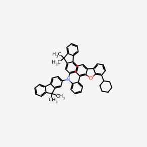 CC1(C)c2ccccc2-c2ccc(N(c3ccc4c(c3)C(C)(C)c3ccccc3-4)c3ccccc3-c3cccc4c3oc3c(C5CCCCC5)cccc34)cc21